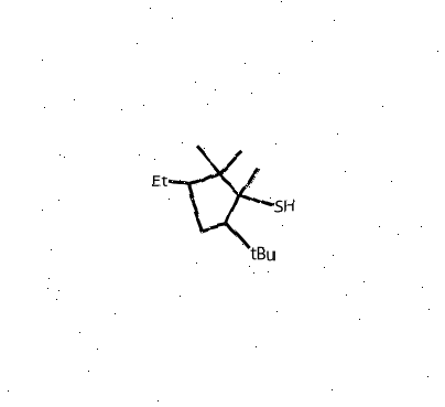 CCC1CC(C(C)(C)C)C(C)(S)C1(C)C